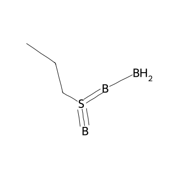 B#S(=BB)CCC